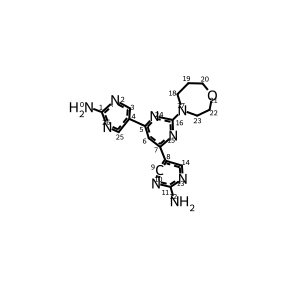 Nc1ncc(-c2cc(-c3cnc(N)nc3)nc(N3CCCOCC3)n2)cn1